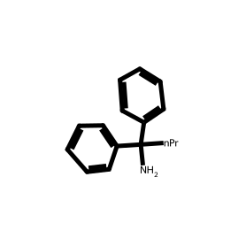 [CH2]CCC(N)(c1ccccc1)c1ccccc1